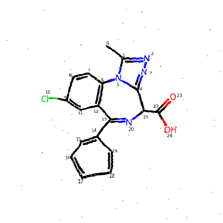 Cc1nnc2n1-c1ccc(Cl)cc1C(c1ccccc1)=NC2C(=O)O